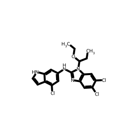 CCOC(CC)n1c(Nc2cc(Cl)c3cc[nH]c3c2)nc2cc(Cl)c(Cl)cc21